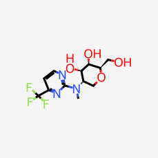 CN(c1nccc(C(F)(F)F)n1)[C@H]1CO[C@H](CO)[C@H](O)[C@@H]1O